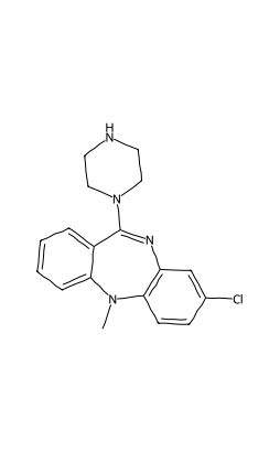 CN1c2ccc(Cl)cc2N=C(N2CCNCC2)c2ccccc21